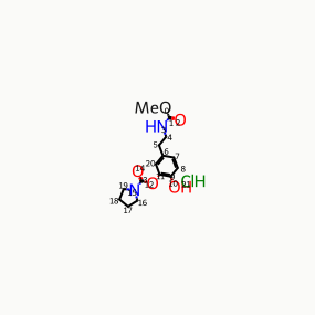 COC(=O)NCCc1ccc(O)c(OC(=O)N2CCCC2)c1.Cl